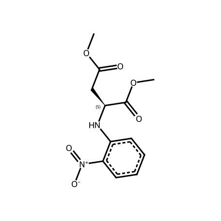 COC(=O)C[C@H](Nc1ccccc1[N+](=O)[O-])C(=O)OC